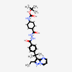 CCc1nn2cccnc2c1C(C)(C)c1ccc(C(=O)NNC(=O)C2CCC(NC(=O)OC(C)(C)C)CC2)cc1